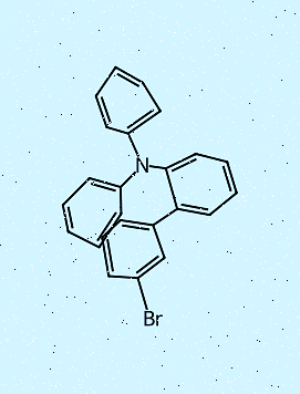 Brc1cccc(-c2ccccc2N(c2ccccc2)c2ccccc2)c1